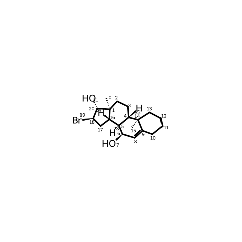 C[C@]12CC[C@H]3[C@@H]([C@H](O)C=C4CCCC[C@@]43C)[C@@H]1C[C@@H](Br)[C@@H]2O